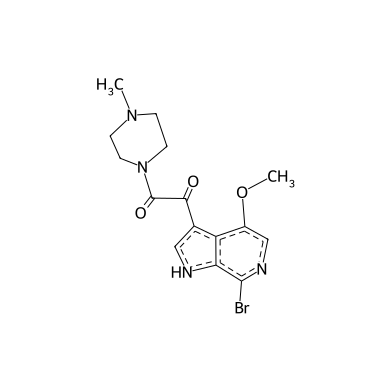 COc1cnc(Br)c2[nH]cc(C(=O)C(=O)N3CCN(C)CC3)c12